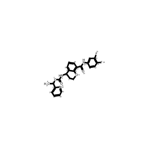 CC(OC(=O)NC1CCOc2c(C(=O)Nc3ccc(F)c(F)c3)cccc21)c1ccccn1